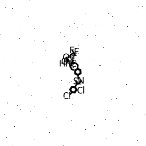 O=S1(=O)NC2(CN1CC(F)(F)F)C1CCC2Cc2cc(-c3ncc(-c4ccc(Cl)cc4Cl)s3)ccc2C1